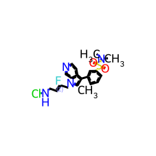 Cc1c(-c2cccc(S(=O)(=O)N(C)C)c2)c2ccncc2n1C/C(F)=C/CNCl